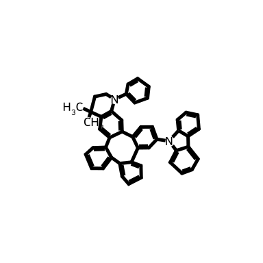 CC1(C)CCN(c2ccccc2)c2cc3c(cc21)-c1ccccc1-c1ccccc1-c1cc(-n2c4ccccc4c4ccccc42)ccc1-3